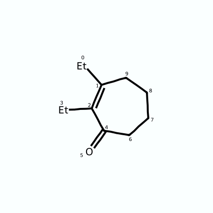 CCC1=C(CC)C(=O)CCCC1